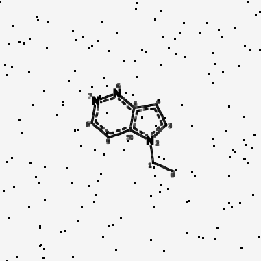 CCn1ccc2nnccc21